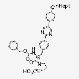 CCCCCCCOc1ccc(-c2cnc(-c3ccc(C[C@H](NC(=O)OCc4ccccc4)C(=O)N4CCC[C@H]4C(=O)O)cc3)nc2)cc1